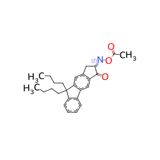 CCCCC1(CCCC)c2ccccc2-c2cc3c(cc21)C/C(=N/OC(C)=O)C3=O